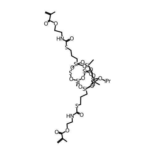 C=C(C)C(=O)OCCNC(=O)SCCC[Si]12OSO[Si]3(C)O[Si](C)(O[Si]4(C)O[Si](C)(O[Si](C)(OC(C)C)O[Si](CCCSC(=O)NCCOC(=O)C(=C)C)(O3)O4)O1)O2